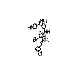 Clc1cccc(CCNc2nc(Nc3ccc4[nH]cc(C5=CCNCC5)c4c3)ncc2Br)c1